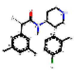 CC[C@H](C(=O)N(C)[C@H]1CCNC[C@@H]1c1ccc(F)cc1C)c1cc(C)cc(C)c1